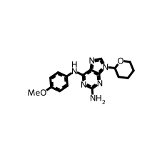 COc1ccc(Nc2nc(N)nc3c2ncn3C2CCCCO2)cc1